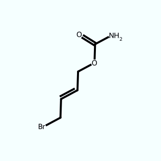 NC(=O)OCC=CCBr